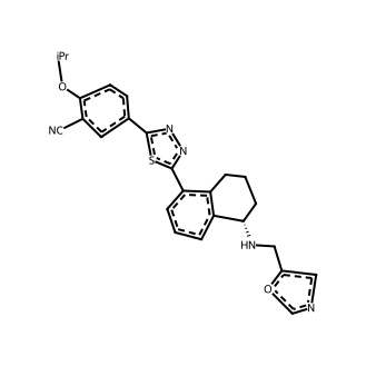 CC(C)Oc1ccc(-c2nnc(-c3cccc4c3CCC[C@@H]4NCc3cnco3)s2)cc1C#N